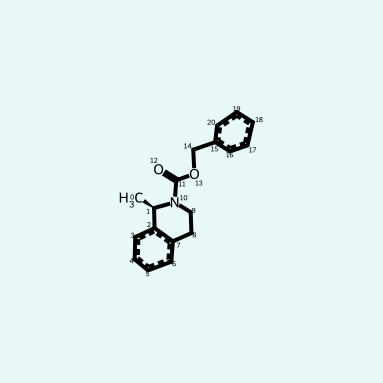 C[C@@H]1c2ccccc2CCN1C(=O)OCc1ccccc1